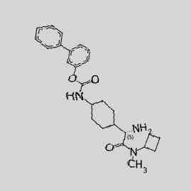 CN(C(=O)[C@@H](N)C1CCC(NC(=O)Oc2cccc(-c3ccccc3)c2)CC1)C1CCC1